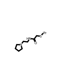 CC(C)SCC(=O)NCCN1CCCC1